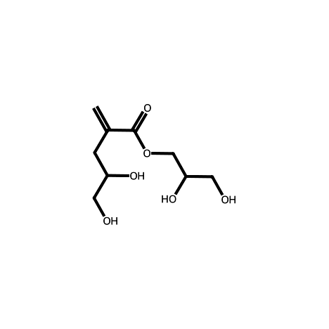 C=C(CC(O)CO)C(=O)OCC(O)CO